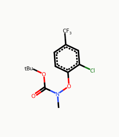 CN(Oc1ccc(C(F)(F)F)cc1Cl)C(=O)OC(C)(C)C